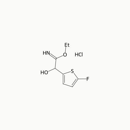 CCOC(=N)C(O)c1ccc(F)s1.Cl